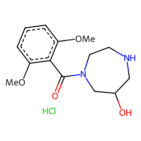 COc1cccc(OC)c1C(=O)N1CCNCC(O)C1.Cl